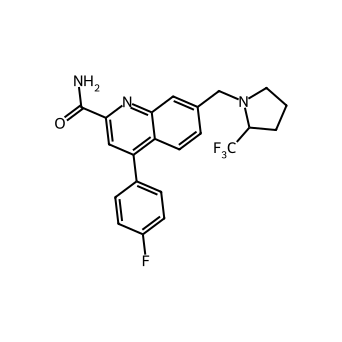 NC(=O)c1cc(-c2ccc(F)cc2)c2ccc(CN3CCCC3C(F)(F)F)cc2n1